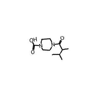 CC(C)C(C)C(=O)N1CCN(C(=O)O)CC1